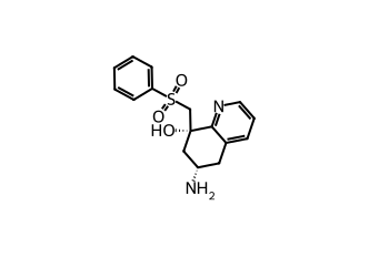 N[C@H]1Cc2cccnc2[C@](O)(CS(=O)(=O)c2ccccc2)C1